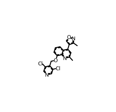 Cc1cc(-c2conc2C)c2cccc(OCc3c(Cl)cncc3Cl)c2n1